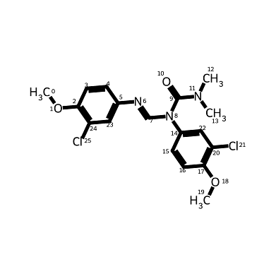 COc1ccc(N=CN(C(=O)N(C)C)c2ccc(OC)c(Cl)c2)cc1Cl